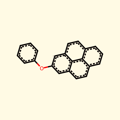 [c]1c(Oc2ccccc2)cc2ccc3cccc4ccc1c2c43